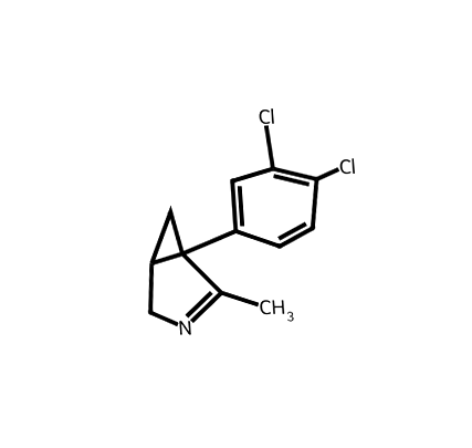 CC1=NCC2CC12c1ccc(Cl)c(Cl)c1